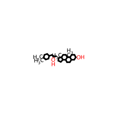 CC1(C)CCC(CC(O)C[C@H]2CCC3C4CCC5C[C@@H](O)CCC5(C)C4CCC32C)CC1